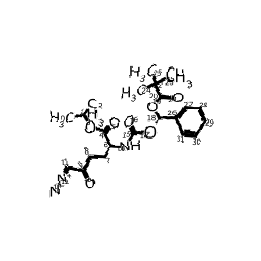 CC(C)OC(=O)[C@H](CCC(=O)C=[N+]=[N-])NC(=O)O[C@H](OC(=O)C(C)(C)C)c1ccccc1